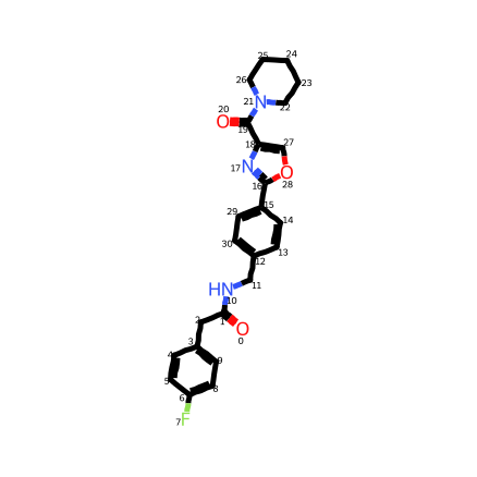 O=C(Cc1ccc(F)cc1)NCc1ccc(-c2nc(C(=O)N3CCCCC3)co2)cc1